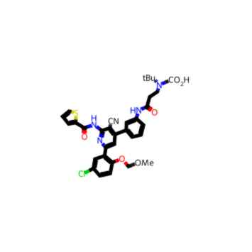 COCOc1ccc(Cl)cc1-c1cc(-c2cccc(NC(=O)CCN(C(=O)O)C(C)(C)C)c2)c(C#N)c(NC(=O)c2cccs2)n1